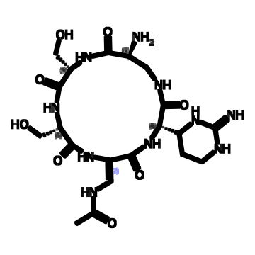 CC(=O)N/C=C1\NC(=O)[C@H](CO)NC(=O)[C@H](CO)NC(=O)[C@@H](N)CNC(=O)[C@H](C2CCNC(=N)N2)NC1=O